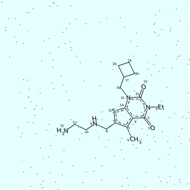 CCn1c(=O)c2c(C)c(CNCCN)sc2n(CC2CCC2)c1=O